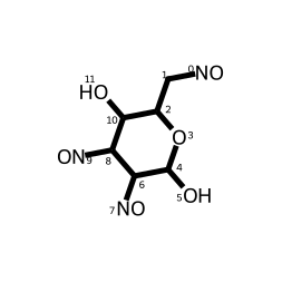 O=NCC1OC(O)C(N=O)C(N=O)C1O